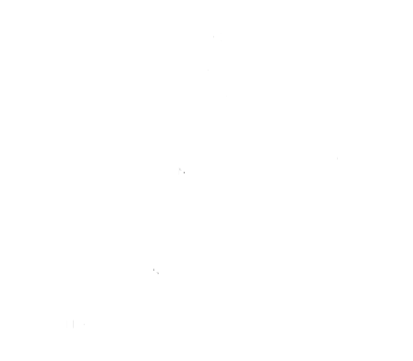 OCCNC1CCN(c2ccc(Cl)cc2Cl)C(c2ccc(Cl)cc2)C1